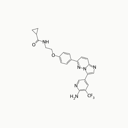 Nc1ncc(-c2cnc3ccc(-c4ccc(OCCNC(=O)C5CC5)cc4)nn23)cc1C(F)(F)F